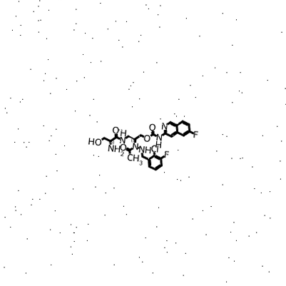 CC(=O)N(NCc1cccc(F)c1Cl)[C@@H](CNC(=O)[C@@H](N)CO)COC(=O)Nc1cc2cc(F)ccc2cn1